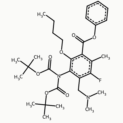 CCCCOc1c(C(=O)Oc2ccccc2)c(C)c(F)c(CN(C)C)c1N(C(=O)OC(C)(C)C)C(=O)OC(C)(C)C